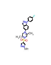 CCCn1cc(S(=O)(=O)N2C[C@H](C)N(c3ccc4c(cnn4-c4ccc(F)cc4)c3)C[C@H]2C)cn1